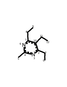 CCc1nc(C)nc(CC)c1CC